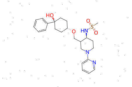 CS(=O)(=O)N[C@H]1CCN(c2ccccn2)CC1CO[C@H]1CC[C@@](O)(c2ccccc2)CC1